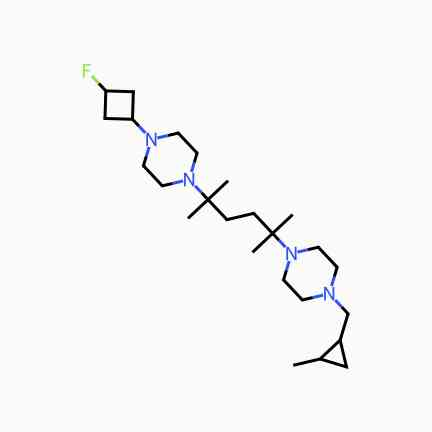 CC1CC1CN1CCN(C(C)(C)CCC(C)(C)N2CCN(C3CC(F)C3)CC2)CC1